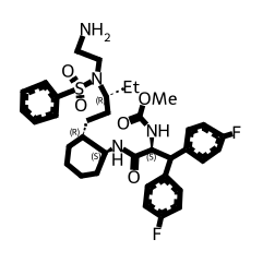 CC[C@H](CC[C@H]1CCCC[C@@H]1NC(=O)[C@@H](NC(=O)OC)C(c1ccc(F)cc1)c1ccc(F)cc1)N(CCN)S(=O)(=O)c1ccccc1